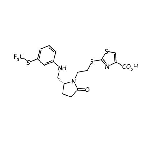 O=C(O)c1csc(SCCN2C(=O)CC[C@@H]2CNc2cccc(SC(F)(F)F)c2)n1